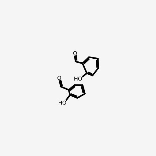 O=Cc1ccccc1O.O=Cc1ccccc1O